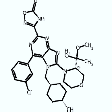 COC(C)(C)[C@@H]1COCCN1c1nc2nc(-c3noc(=O)[nH]3)nc(-c3cccc(Cl)c3)c2n1C[C@H]1CC[C@H](C)CC1